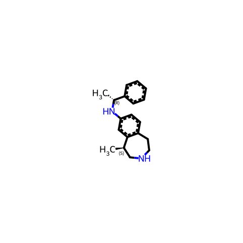 C[C@@H]1CNCCc2ccc(N[C@H](C)c3ccccc3)cc21